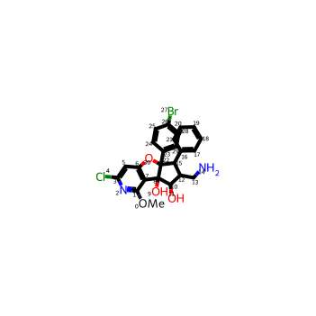 COc1nc(Cl)cc2c1C1(O)C(O)C(CN)C(c3ccccc3)C1(c1ccc(Br)cc1)O2